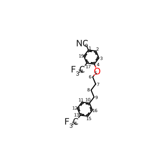 N#Cc1ccc(OCCCCc2ccc(C(F)(F)F)cc2)c(C(F)(F)F)c1